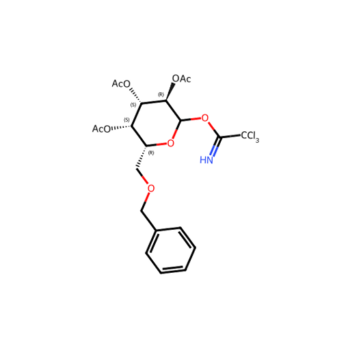 CC(=O)O[C@@H]1[C@H](OC(C)=O)[C@@H](OC(C)=O)C(OC(=N)C(Cl)(Cl)Cl)O[C@@H]1COCc1ccccc1